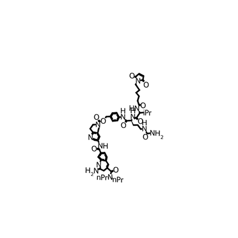 CCCN(CCC)C(=O)C1=Cc2ccc(C(=O)Nc3cnc4c(c3)CN(C(=O)OCc3ccc(NC(=O)[C@H](CCCNC(N)=O)NC(=O)C(NC(=O)CCCCCN5C(=O)C=CC5=O)C(C)C)cc3)CC4)cc2N=C(N)C1